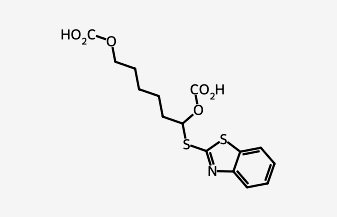 O=C(O)OCCCCCC(OC(=O)O)Sc1nc2ccccc2s1